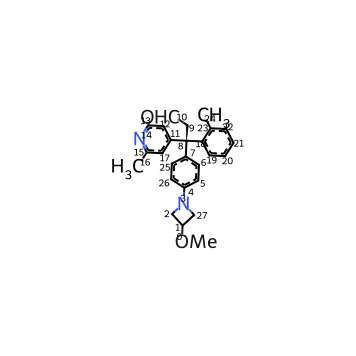 COC1CN(c2ccc([C@](CC=O)(c3ccnc(C)c3)c3ccccc3C)cc2)C1